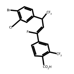 O=C(O)c1ccc(C(F)=CC(c2ccc(Br)c(Cl)c2)C(F)(F)F)cc1C(F)(F)F